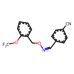 N#Cc1ccc(/[C]=N\OCc2ccccc2OC(F)(F)F)cc1